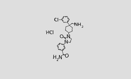 Cl.NC[C@]1(c2cccc(Cl)c2)CC[C@H](N2CCN(c3cccc(C(N)=O)c3)C2=O)CC1